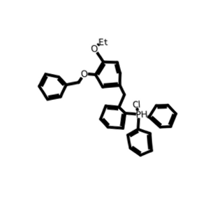 CCOc1ccc(Cc2ccccc2[PH](Cl)(c2ccccc2)c2ccccc2)cc1OCc1ccccc1